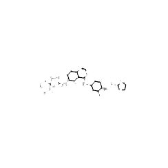 Cc1cc(Nc2ncnc3ccc(NC4=NCC5(CCOCC5)O4)cc23)ccc1OCc1nccs1